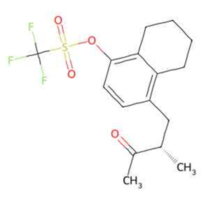 CC(=O)[C@@H](C)Cc1ccc(OS(=O)(=O)C(F)(F)F)c2c1CCCC2